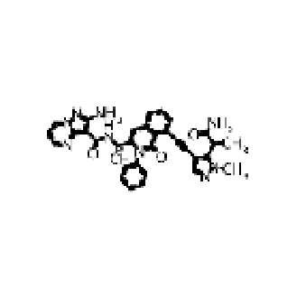 CC(C(N)=O)c1c(C#Cc2cccc3cc([C@H](C)NC(=O)c4c(N)nn5cccnc45)n(-c4ccccc4)c(=O)c23)cnn1C